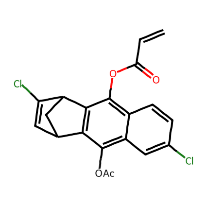 C=CC(=O)Oc1c2c(c(OC(C)=O)c3cc(Cl)ccc13)C1C=C(Cl)C2C1